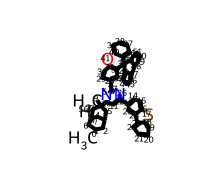 CC1CC2C[C@@H](C1)CC(C)(c1cc(-c3ccc4sc5ccccc5c4c3)nc(-c3ccc4c(c3)C3(c5ccccc5O4)c4ccccc4C4C=CC=CC43)n1)C2